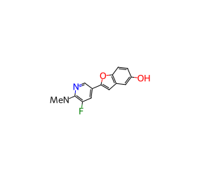 CNc1ncc(-c2cc3cc(O)ccc3o2)cc1F